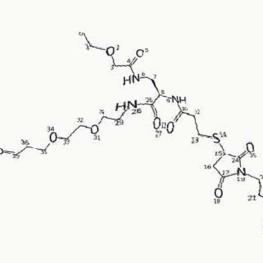 CCOCC(=O)NC[C@@H](NC(=O)CCSC1CC(=O)N(CCC=O)C1=O)C(=O)NCCOCCOCCC=O